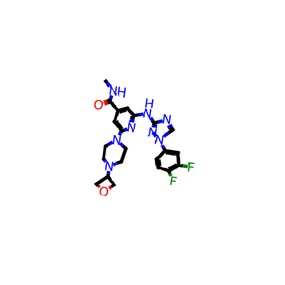 CNC(=O)c1cc(Nc2ncn(-c3ccc(F)c(F)c3)n2)nc(N2CCN(C3COC3)CC2)c1